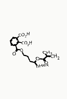 C=C(C)C(=O)OC(CCCCCC)CCCOC(=O)c1cccc(C(=O)O)c1C(=O)O